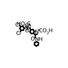 O=C(O)CN(c1ccc2c(C(=O)Nc3ccccc3)cn(CC(=O)O)c2c1)S(=O)(=O)c1cc(Cl)cc(Cl)c1